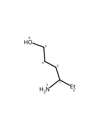 [CH2]CC(N)CCCO